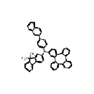 CC1(C)c2ccccc2-c2ccc(N(c3ccc(-c4ccc5ccccc5c4)cc3)c3ccc4c(c3)-c3ccccc3-c3ccccc3-c3ccccc3-4)cc21